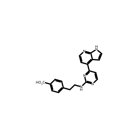 O=C(O)c1ccc(CCNc2nccc(-c3ccnc4[nH]ccc34)n2)cc1